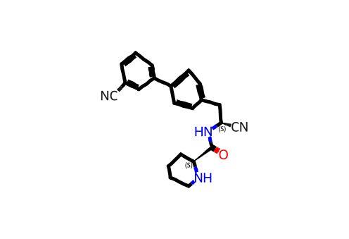 N#Cc1cccc(-c2ccc(C[C@@H](C#N)NC(=O)[C@@H]3CCCCN3)cc2)c1